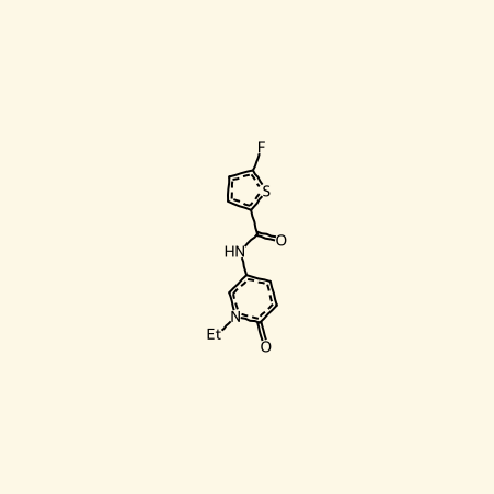 CCn1cc(NC(=O)c2ccc(F)s2)ccc1=O